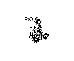 CCOC(=O)C1(C)CCC(n2ncc(C(=O)N3C[C@H](C4CCCCC4)C[C@@H]3C(O)c3c(Cl)cncc3Cl)c2C(F)(F)F)CC1